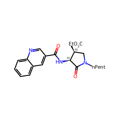 CCCCCN1C[C@H](C(=O)OCC)[C@H](NC(=O)c2cnc3ccccc3c2)C1=O